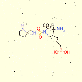 N[C@@]1(C(=O)O)CN(S(=O)(=O)N2CC3(CCCN3)C2)C[C@@H]1CCCB(O)O